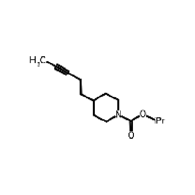 CC#CCCC1CCN(C(=O)OC(C)C)CC1